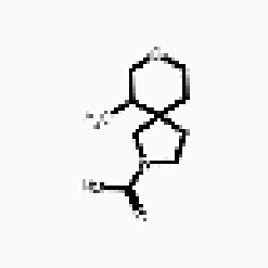 CC1COCCC12CCN(C(=O)O)C2